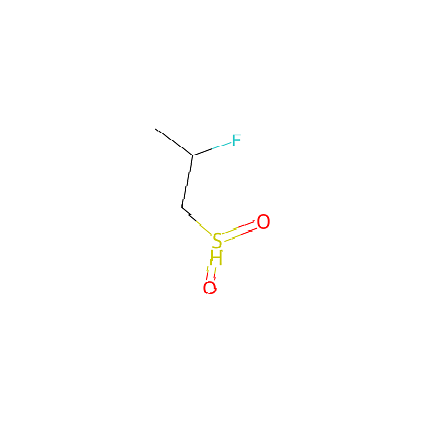 CC(F)C[SH](=O)=O